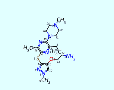 CCc1nc(Sc2nn(C)cc2OCCN)c(C)nc1N1CCN(C)CC1